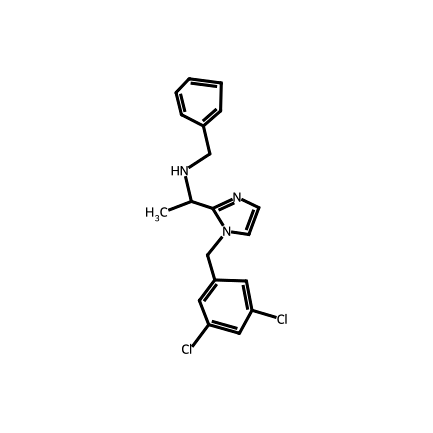 CC(NCc1ccccc1)c1nccn1Cc1cc(Cl)cc(Cl)c1